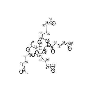 CC(OC(=O)CCCC1CO1)C(OC(=O)CCCC1CO1)C(COC(=O)CCCC1CO1)OC(=O)CCCC1CO1